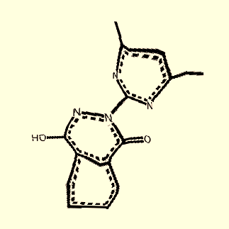 Cc1cc(C)nc(-n2nc(O)c3ccccc3c2=O)n1